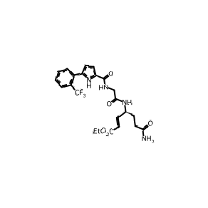 CCOC(=O)/C=C/[C@H](CCC(N)=O)NC(=O)CNC(=O)c1ccc(-c2ccccc2C(F)(F)F)[nH]1